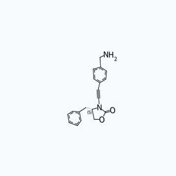 NCc1ccc(C#CN2C(=O)OC[C@@H]2Cc2ccccc2)cc1